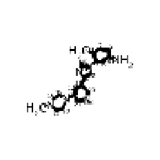 Cc1ccc(N)cc1-n1cc(C2C=C(N3CCN(C)CC3)C=NC2)nn1